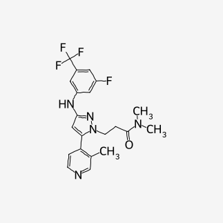 Cc1cnccc1-c1cc(Nc2cc(F)cc(C(F)(F)F)c2)nn1CCC(=O)N(C)C